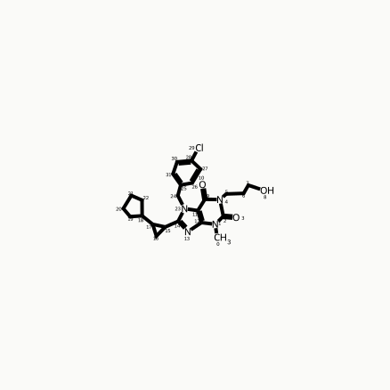 Cn1c(=O)n(CCCO)c(=O)c2c1nc(C1CC1C1CCCC1)n2Cc1ccc(Cl)cc1